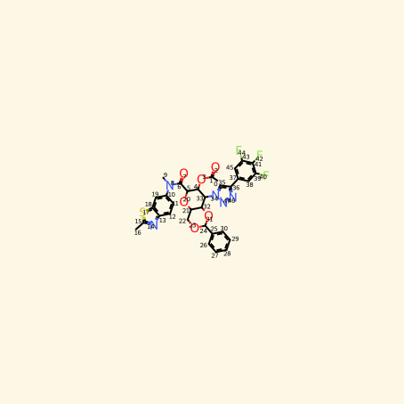 CC(=O)OC1C(C(=O)N(C)c2ccc3nc(C)sc3c2)OC2COC(c3ccccc3)OC2C1n1cc(-c2cc(F)c(F)c(F)c2)nn1